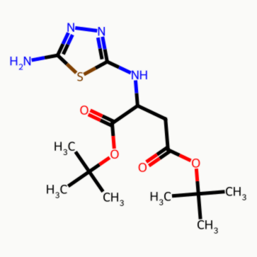 CC(C)(C)OC(=O)CC(Nc1nnc(N)s1)C(=O)OC(C)(C)C